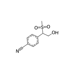 CS(=O)(=O)C(CO)c1ccc(C#N)cc1